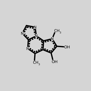 Cc1nc2ncnn2c2c1c(O)c(O)n2C